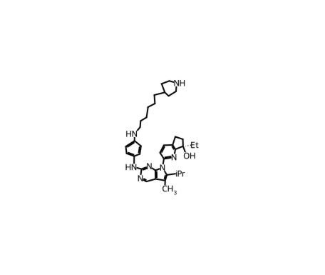 CC[C@@]1(O)CCc2ccc(-n3c(C(C)C)c(C)c4cnc(Nc5ccc(NCCCCCCC6CCNCC6)cc5)nc43)nc21